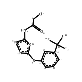 O=C(CCl)Nc1nnc(Sc2cccc(C(F)(F)F)c2)s1